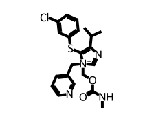 CNC(=O)OC[N+]1(Cc2cccnc2)C=NC(C(C)C)=C1Sc1cccc(Cl)c1